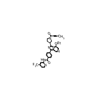 CC#CC(=O)N1CCC(c2nc(-c3ccc(C(=O)Nc4cc(C(F)(F)F)ccn4)cc3)c3cncc(OCC)n23)C1